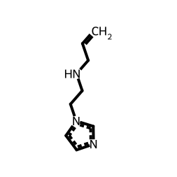 C=CCNCCn1ccnc1